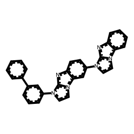 c1ccc(-c2cccc(-n3ccn4c5cc(-n6ccn7c8ccccc8nc67)ccc5nc34)c2)cc1